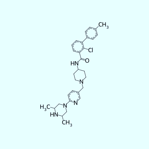 Cc1ccc(-c2cccc(C(=O)NC3CCN(Cc4ccc(N5CC(C)NC(C)C5)nc4)CC3)c2Cl)cc1